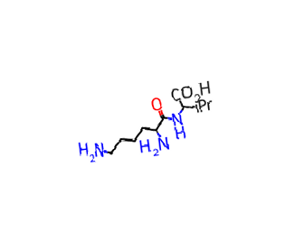 CC(C)C(NC(=O)[C@@H](N)CCCCN)C(=O)O